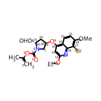 C=C(C)OC(=O)N1C[C@H](Oc2cc(OCC)nc3c(Br)c(OC)ccc23)C[C@H]1C=O